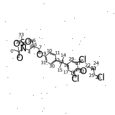 CC(=O)N(C[C@@H](C)COc1ccc(C(C)(C)c2cc(Cl)c(OC[C@H](C)CCl)c(Cl)c2)cc1)S(C)(=O)=O